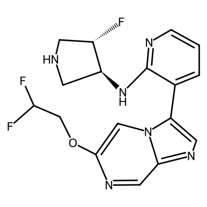 FC(F)COc1cn2c(-c3cccnc3N[C@H]3CNC[C@@H]3F)cnc2cn1